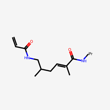 C=CC(=O)NCC(C)C/C=C(\C)C(=O)NC(C)C